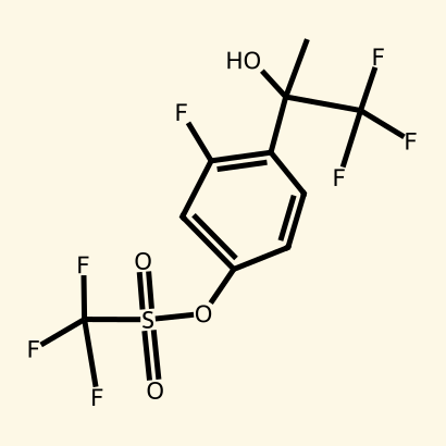 CC(O)(c1ccc(OS(=O)(=O)C(F)(F)F)cc1F)C(F)(F)F